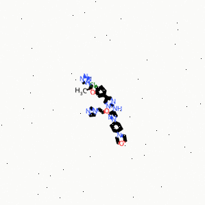 C[C@@H](Cn1cnnn1)Oc1cc(-c2cnc(Nc3cn(C4CCC(N5CCOCC5)CC4)nc3OCCn3ccnc3)nc2)ccc1Cl